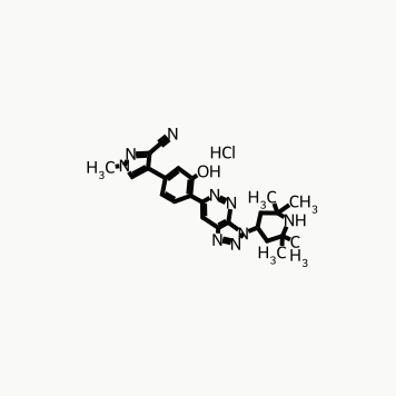 Cl.Cn1cc(-c2ccc(-c3cc4nnn(C5CC(C)(C)NC(C)(C)C5)c4nn3)c(O)c2)c(C#N)n1